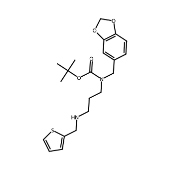 CC(C)(C)OC(=O)N(CCCNCc1cccs1)Cc1ccc2c(c1)OCO2